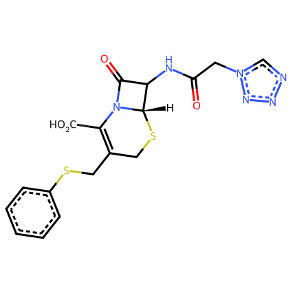 O=C(Cn1cnnn1)NC1C(=O)N2C(C(=O)O)=C(CSc3ccccc3)CS[C@@H]12